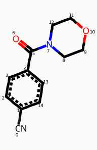 N#Cc1ccc(C(=O)N2CCOCC2)cc1